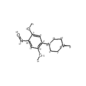 COc1cc(N2CCN(C)CC2)c(OC)cc1N=O